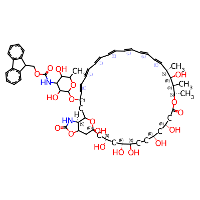 CC1OC(O[C@H]2/C=C/C=C/C=C/C=C/C=C/C=C/C=C/[C@H](C)[C@@H](O)[C@@H](C)[C@H](C)OC(=O)C[C@H](O)C[C@H](O)CC[C@@H](O)[C@H](O)C[C@H](O)C[C@]3(O)CC4OC(=O)N[C@H]4C(C2)O3)C(O)C(NC(=O)OCC2c3ccccc3-c3ccccc32)C1O